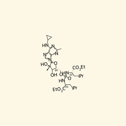 CCOC(=O)[C@H](CC(C)C)NP(=O)(N[C@@H](CC(C)C)C(=O)OCC)OC[C@H]1O[C@@H](n2cnc3c(NC4CC4)nc(C)nc32)[C@@](C)(O)C1O